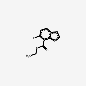 CCOC(=O)c1c(F)ccc2ccoc12